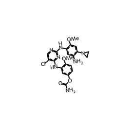 COc1cc(N2CC2)c(N)cc1Nc1ncc(Cl)c(Nc2cc(OC(N)=O)ccc2OC)n1